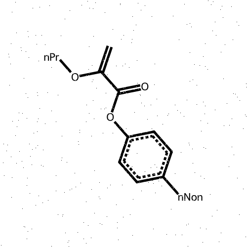 C=C(OCCC)C(=O)Oc1ccc(CCCCCCCCC)cc1